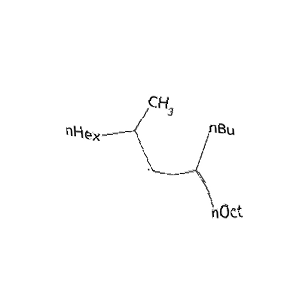 CCCCCCCCC([CH]C(C)CCCCCC)CCCC